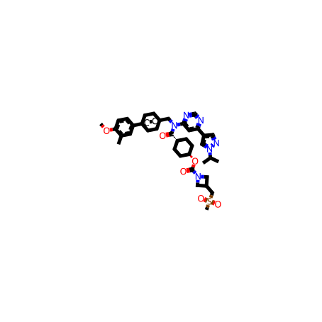 COc1ccc(C23CCC(CN(c4cc(-c5cnn(C(C)C)c5)ncn4)C(=O)[C@H]4CC[C@H](OC(=O)N5CC(CS(C)(=O)=O)C5)CC4)(CC2)CC3)cc1C